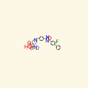 O=C(O)C1(C(=O)N2CCCC2)CCN(Cc2ccc(-c3noc(-c4ccc(-c5ccccc5)c(F)c4)n3)cc2)CC1